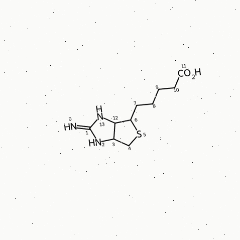 N=C1NC2CSC(CCCCC(=O)O)C2N1